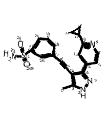 Cc1[nH]nc(-c2ccnc(C3CC3)c2)c1C#Cc1cccc(S(N)(=O)=O)c1